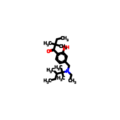 CCC(C)C(C)(C)N(CC)Cc1ccc(C(=O)C(C)(C)CC)c(O)c1